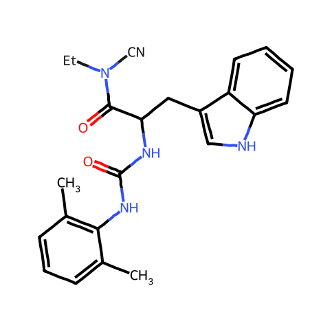 CCN(C#N)C(=O)C(Cc1c[nH]c2ccccc12)NC(=O)Nc1c(C)cccc1C